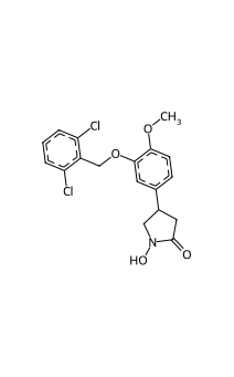 COc1ccc(C2CC(=O)N(O)C2)cc1OCc1c(Cl)cccc1Cl